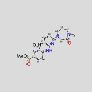 COC(=O)c1ccc(Nc2nc(N3CCCN(C)C(=O)C3)ccc2[N+](=O)[O-])cc1